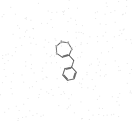 C1=C(Cc2ccccc2)SSSSS1